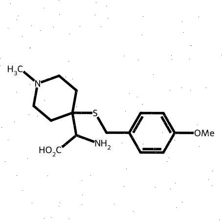 COc1ccc(CSC2(C(N)C(=O)O)CCN(C)CC2)cc1